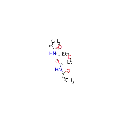 C=CC(=O)NCOCNC(=O)C=C.CCOCC